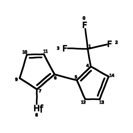 FC(F)(F)C1=C(C2=[C]([Hf])CC=C2)CC=C1